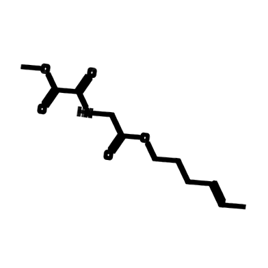 C/C=C/CCCOC(=O)CNC(=O)C(=O)OC